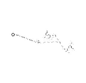 C[C@@H]1[C@@H](NC(=N)N)C=C(C(=O)O)O[C@H]1C(OC(=O)N(C)CCOCCN(CCOCCOCCOCCOCc1cn(CCOCCOCCOCCOCCC(=O)Oc2c(F)c(F)cc(F)c2F)nn1)CCOCCN(C)C(=O)O[C@@H]([C@@H]1OC(C(=O)O)=C[C@H](NC(=N)N)[C@H]1C)[C@H](O)CO)[C@H](O)CO